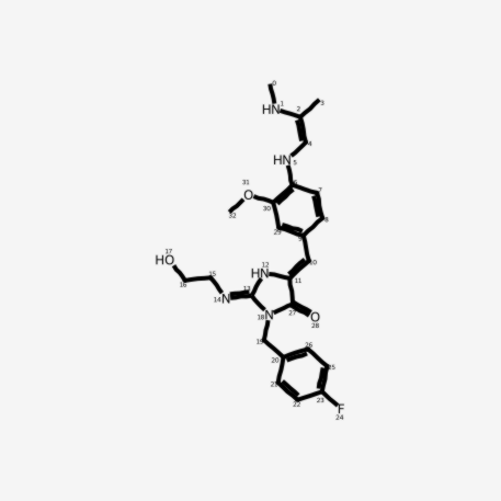 CN/C(C)=C\Nc1ccc(/C=C2\N/C(=N\CCO)N(Cc3ccc(F)cc3)C2=O)cc1OC